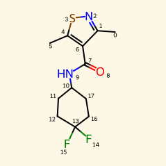 Cc1nsc(C)c1C(=O)NC1CCC(F)(F)CC1